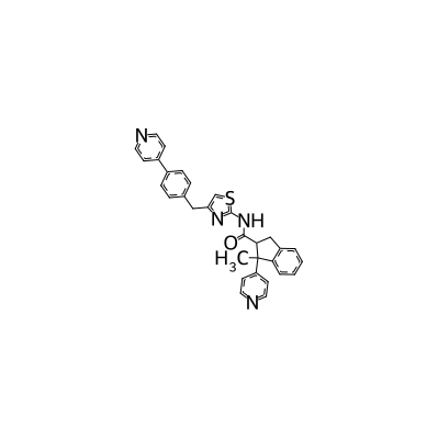 CC1(c2ccncc2)c2ccccc2CC1C(=O)Nc1nc(Cc2ccc(-c3ccncc3)cc2)cs1